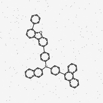 c1ccc(-c2cccc3c2oc2ccc(-c4ccc(N(c5ccc(-c6cc7ccccc7c7ccccc67)cc5)c5ccc6ccccc6c5)cc4)cc23)cc1